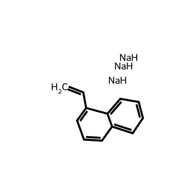 C=Cc1cccc2ccccc12.[NaH].[NaH].[NaH]